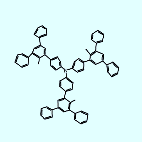 Cc1c(-c2ccccc2)cc(-c2ccccc2)cc1-c1ccc(N(c2ccc(-c3cc(-c4ccccc4)cc(-c4ccccc4)c3C)cc2)c2ccc(-c3cc(-c4ccccc4)cc(-c4ccccc4)c3C)cc2)cc1